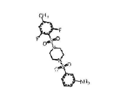 Cc1cc(F)c(S(=O)(=O)N2CCN(S(=O)(=O)c3cccc(N)c3)CC2)c(F)c1